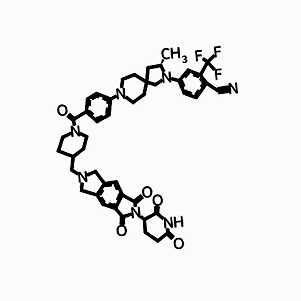 C[C@H]1CC2(CCN(c3ccc(C(=O)N4CCC(CN5Cc6cc7c(cc6C5)C(=O)N(C5CCC(=O)NC5=O)C7=O)CC4)cc3)CC2)CN1c1ccc(C#N)c(C(F)(F)F)c1